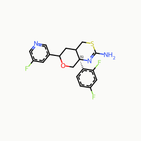 NC1=N[C@@]2(c3ccc(F)cc3F)COC(c3cncc(F)c3)CC2CS1